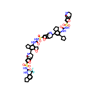 O=C(Nc1c(C2CCCC2)cc(C2CC3CCN2Cc2cc(S(=O)(=O)NC(=O)Nc4c5c(c(C6CC7CCN6Cc6cc(S(=O)(=O)NC(=O)Nc8c(C(F)(F)F)ccc9c8CCC9)oc67)c6c4CCO6)CCC5)oc23)c2c1CCC2)NS(=O)(=O)c1cc2c(o1)C1CCN(CC1)C2